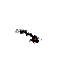 C[C@H](NC(=O)CNC(=O)CNC(=O)CNC(=O)CCn1cc(C2=C(c3cn(C)c4ccccc34)C(=O)NC2=O)c2ccccc21)C(N)=O